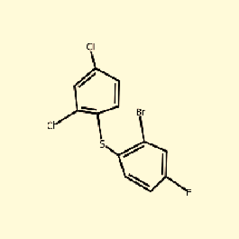 Fc1ccc(Sc2ccc(Cl)cc2Cl)c(Br)c1